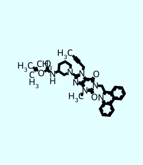 CC#CCn1c(N2CCCC(NC(=O)OC(C)(C)C)C2)nc2c1c(=O)n(Cc1nc3ccccc3c3ccccc13)c(=O)n2C